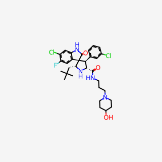 CC(C)(C)C[C@H]1N[C@@H](C(=O)NCCCN2CCC(O)CC2)[C@H](c2cccc(Cl)c2)[C@@]12C(=O)Nc1cc(Cl)c(F)cc12